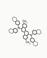 Cc1ccc2c(c1)c(N(c1ccc3c(c1)CCCC3)c1ccc3c(c1)CCCC3)cc1c3ccc(C)cc3c(N(c3ccc4c(c3)CCCC4)c3ccc4c(c3)CCCC4)cc21